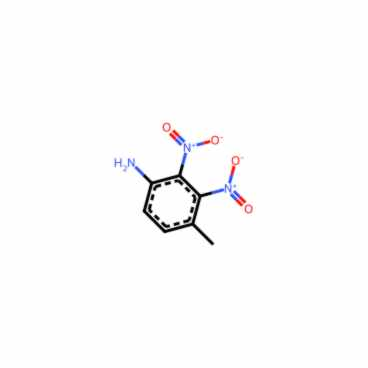 Cc1ccc(N)c([N+](=O)[O-])c1[N+](=O)[O-]